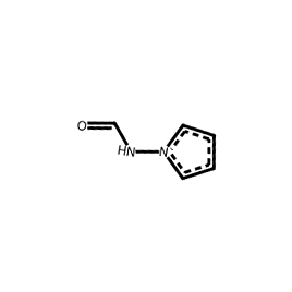 O=CNn1cccc1